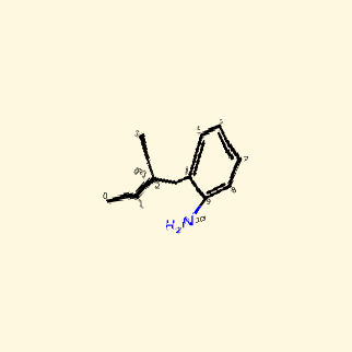 CC[C@@H](C)c1ccccc1N